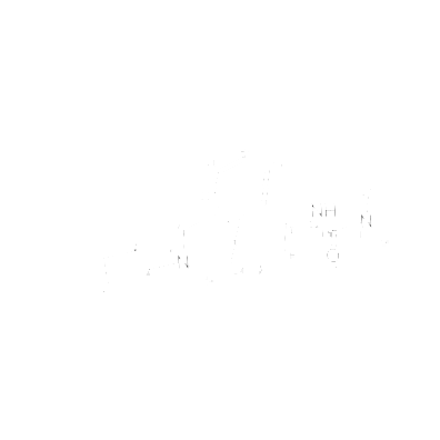 CC(C)CCN1CCC2(CCC(NC(=O)N(C)C)c3ccccc32)CC1